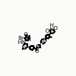 Cc1cc(N2CCN(C3CN(C(=O)c4ccc([C@H]5C[C@@H](Nc6cnn(C)c(=O)c6Br)CN(C)C5)cc4)C3)CC2)ccc1C1CCC(=O)NC1=O